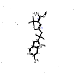 C=N/C(N)=C(\C=C(/C)CC(C)(C)c1cc2cnc(N)cc2n1C)C(C)(C)C